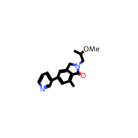 COC(C)CN1Cc2cc(-c3cccnc3)cc(C)c2C1=O